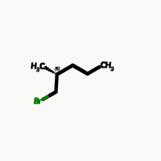 CCC[C@@H](C)CBr